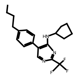 CCCCc1ccc(-c2cnc(C(F)(F)F)nc2NC2CCCC2)cc1